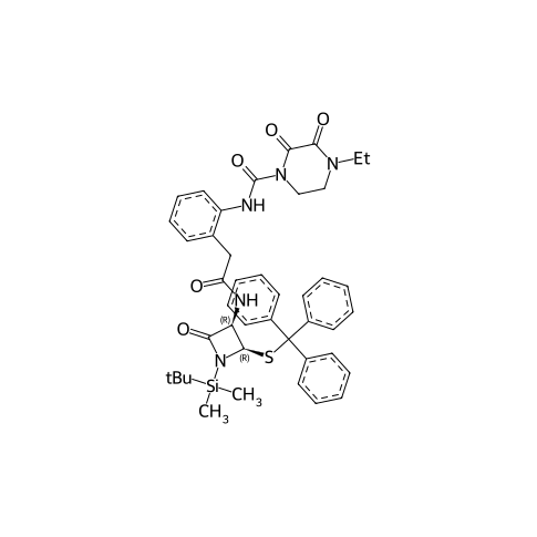 CCN1CCN(C(=O)Nc2ccccc2CC(=O)N[C@@H]2C(=O)N([Si](C)(C)C(C)(C)C)[C@@H]2SC(c2ccccc2)(c2ccccc2)c2ccccc2)C(=O)C1=O